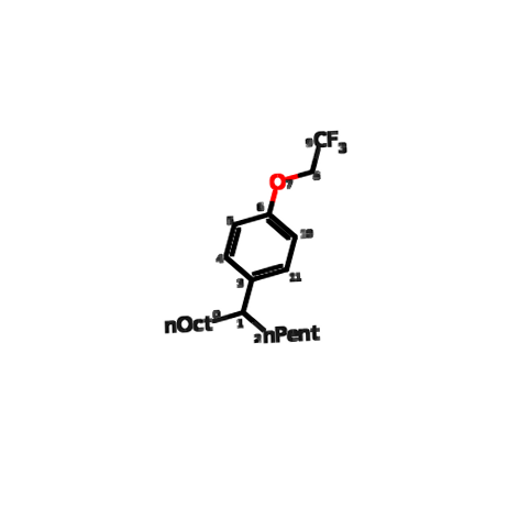 CCCCCCCCC(CCCCC)c1ccc(OCC(F)(F)F)cc1